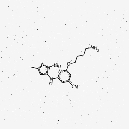 Cc1cc(Nc2cc(C#N)cc(OCCCCN)n2)n(C(C)(C)C)n1